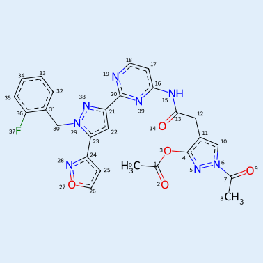 CC(=O)Oc1nn(C(C)=O)cc1CC(=O)Nc1ccnc(-c2cc(-c3ccon3)n(Cc3ccccc3F)n2)n1